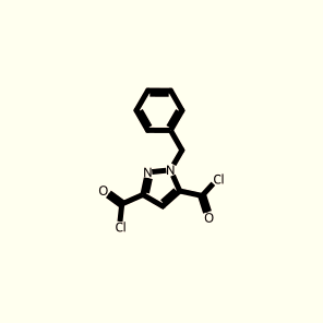 O=C(Cl)c1cc(C(=O)Cl)n(Cc2ccccc2)n1